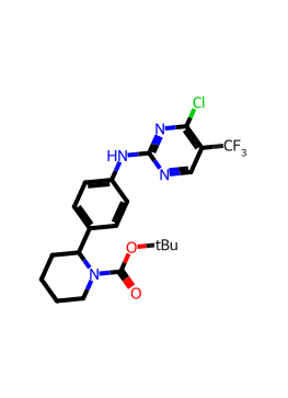 CC(C)(C)OC(=O)N1CCCCC1c1ccc(Nc2ncc(C(F)(F)F)c(Cl)n2)cc1